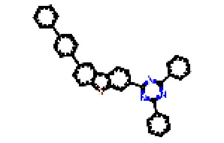 c1ccc(-c2ccc(-c3ccc4sc5cc(-c6nc(-c7ccccc7)nc(-c7ccccc7)n6)ccc5c4c3)cc2)cc1